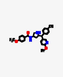 CC(C)Oc1ccc(C(c2ccc(C#N)cc2)C2CC(NC(=O)c3ccc(OC(F)(F)F)cc3)CN2)cn1